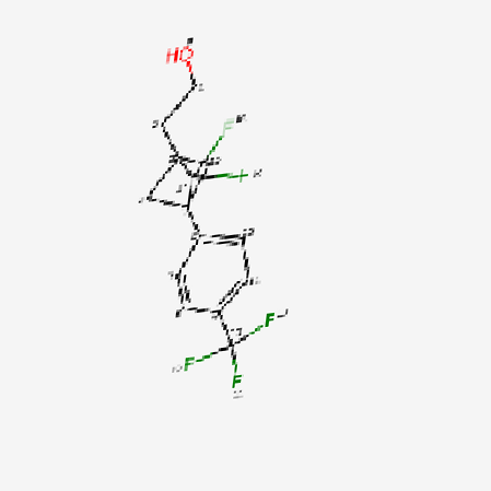 OCCC12CC(c3ccc(C(F)(F)F)cc3)(C1)C2(F)F